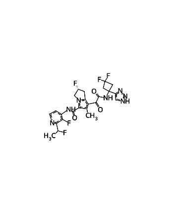 Cc1c(C(=O)C(=O)NC2(c3c[nH]nn3)CC(F)(F)C2)c2n(c1C(=O)Nc1ccnc(C(C)F)c1F)C[C@H](F)C2